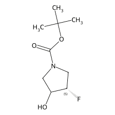 CC(C)(C)OC(=O)N1CC(O)[C@@H](F)C1